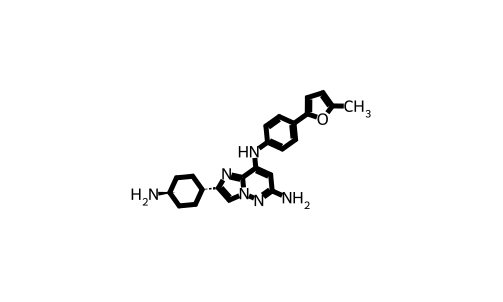 Cc1ccc(-c2ccc(Nc3cc(N)nn4cc([C@H]5CC[C@H](N)CC5)nc34)cc2)o1